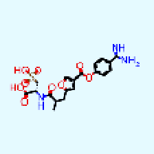 CC(Cc1cc(C(=O)Oc2ccc(C(=N)N)cc2)co1)C(=O)N[C@@H](CS(=O)(=O)O)C(=O)O